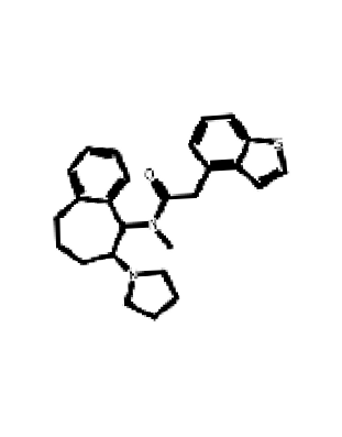 CN(C(=O)Cc1cccc2sccc12)C1c2ccccc2CCCC1N1CCCC1